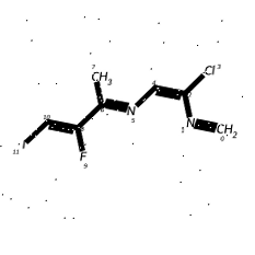 C=N\C(Cl)=C/N=C(C)/C(F)=C/I